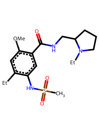 CCc1cc(OC)c(C(=O)NCC2CCCN2CC)cc1NS(C)(=O)=O